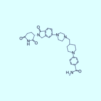 NC(=O)c1ccc(N2CCC(CN3CCN(c4ccc5c(c4)CN([C@H]4CCC(=O)NC4=O)C5=O)CC3)CC2)cc1